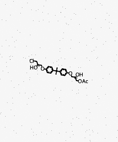 CC(=O)OC[C@H](O)COc1ccc(C(C)(C)c2ccc(OC[C@@H](O)CCl)cc2)cc1